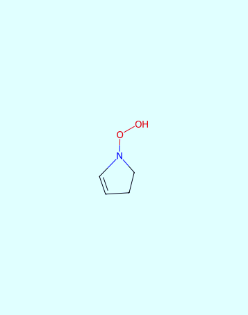 OON1C=CCC1